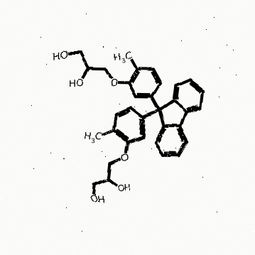 Cc1ccc(C2(c3ccc(C)c(OCC(O)CO)c3)c3ccccc3-c3ccccc32)cc1OCC(O)CO